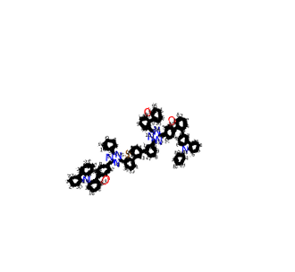 c1ccc(-c2nc(-c3ccc4c(c3)oc3cccc(-n5c6ccccc6c6ccccc65)c34)nc(-c3cccc4c3sc3ccc(-c5cccc(-c6nc(-c7ccc8c(c7)oc7cccc(-c9ccc%10c(c9)c9ccccc9n%10-c9ccccc9)c78)nc(-c7cccc8oc9ccccc9c78)n6)c5)cc34)n2)cc1